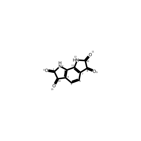 O=c1[nH]c2c(ccc3c(=O)c(=O)[nH]c32)c1=O